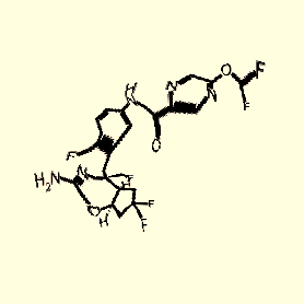 NC1=N[C@](CF)(c2cc(NC(=O)c3cnc(OC(F)F)cn3)ccc2F)[C@H]2CC(F)(F)C[C@H]2O1